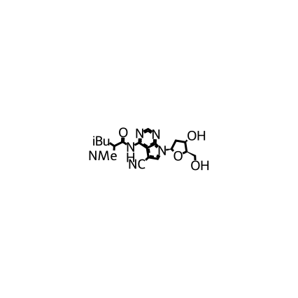 CCC(C)C(NC)C(=O)Nc1ncnc2c1c(C#N)cn2[C@H]1C[C@@H](O)[C@@H](CO)O1